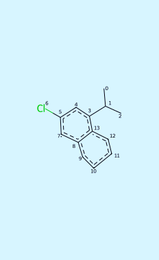 CC(C)c1cc(Cl)[c]c2ccccc12